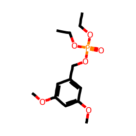 CCOP(=O)(OCC)OCc1cc(OC)cc(OC)c1